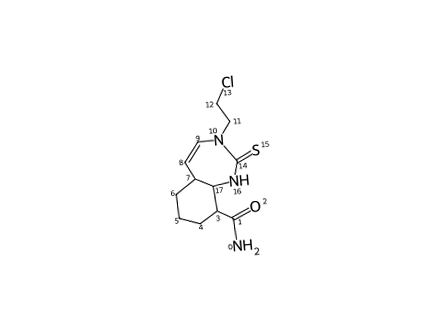 NC(=O)C1CCCC2C=CN(CCCl)C(=S)NC21